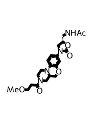 COCCC(=O)N1CCN2c3ccc(N4C[C@H](CNC(C)=O)OC4=O)cc3OCC2C1